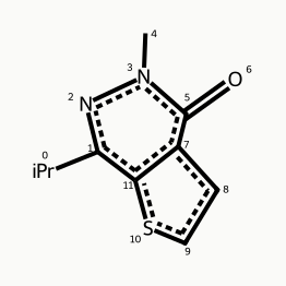 CC(C)c1nn(C)c(=O)c2ccsc12